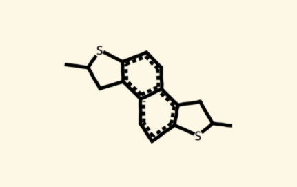 CC1Cc2c(ccc3c4c(ccc23)SC(C)C4)S1